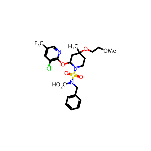 COCCOC1(C)CCN(S(=O)(=O)N(Cc2ccccc2)C(=O)O)C(Oc2ncc(C(F)(F)F)cc2Cl)C1